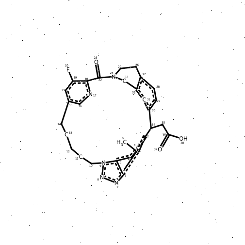 Cc1c2ccc3c1nnn3CCCCCc1cnc(c(F)c1)C(=O)N1CCc3ccc(cc3C1)C2CC(=O)O